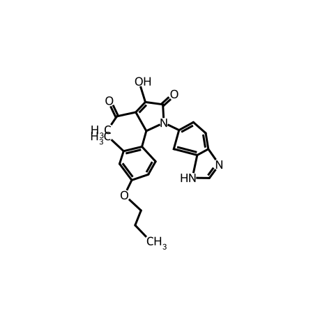 CCCOc1ccc(C2C(C(C)=O)=C(O)C(=O)N2c2ccc3nc[nH]c3c2)c(C)c1